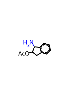 CC(=O)O[C@@H]1Cc2ccccc2[C@@H]1N